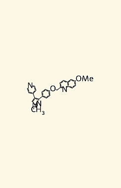 COc1ccc2nc(COc3ccc(-c4nn(C)cc4-c4ccncc4)cc3)ccc2c1